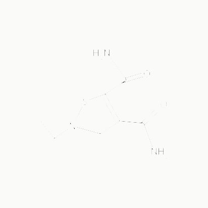 CCN1CC(C(N)=O)=C(C(N)=O)S1